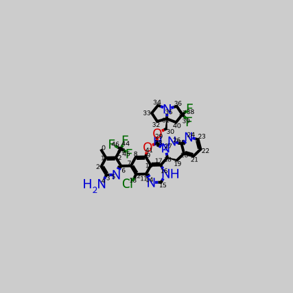 Cc1cc(N)nc(-c2cc3c4c(c2Cl)=NCNC=4[C@H](Cc2cccnc2N)N=C(OC[C@@]24CCCN2CC(F)(F)C4)O3)c1C(F)(F)F